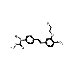 CCC(C)N(C(=O)OC(C)(C)C)c1ccc(/C=C/c2ccc([N+](=O)[O-])c(OCCF)c2)cc1